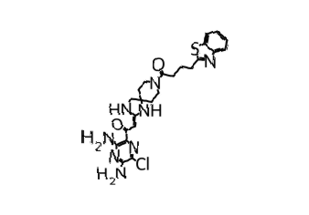 Nc1nc(N)c(C(=O)/C=C2\NCC3(CCN(C(=O)CCCc4nc5ccccc5s4)CC3)N2)nc1Cl